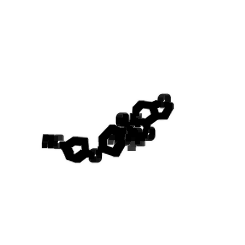 N#Cc1ccc(Oc2ccc(S(=O)(=O)N3CCC4OCCC4C3OC(=O)O)cc2)cc1